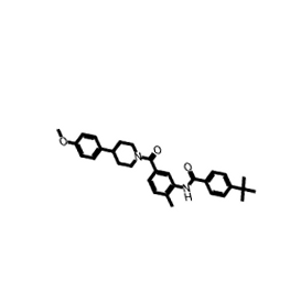 COc1ccc(C2CCN(C(=O)c3ccc(C)c(NC(=O)c4ccc(C(C)(C)C)cc4)c3)CC2)cc1